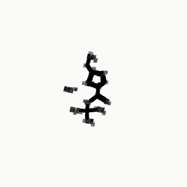 CC(C)(C)OC(=O)c1csc(CN)n1.Cl